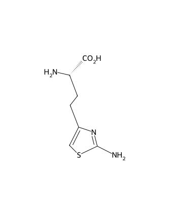 Nc1nc(CC[C@H](N)C(=O)O)cs1